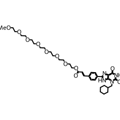 COCCOCCOCCOCCOCCOCCOCCOC(=O)/C=C/c1ccc(-c2nc3c(=O)[nH]c(=O)n(CC4CCCCC4)c3[nH]2)cc1